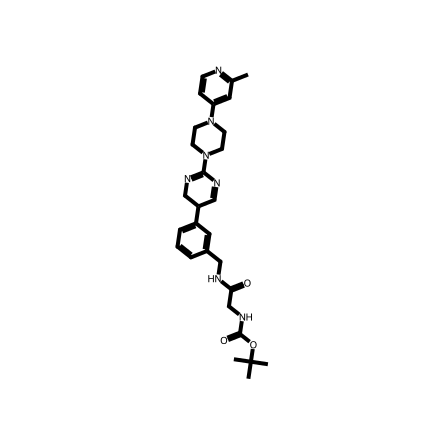 Cc1cc(N2CCN(C3=NCC(c4cccc(CNC(=O)CNC(=O)OC(C)(C)C)c4)C=N3)CC2)ccn1